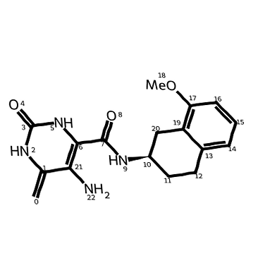 C=C1NC(=O)NC(C(=O)N[C@@H]2CCc3cccc(OC)c3C2)=C1N